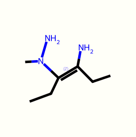 CC/C(N)=C(\CC)N(C)N